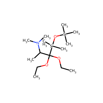 CCOC(OCC)(C(C)N(C)C)[Si](C)(C)O[Si](C)(C)C